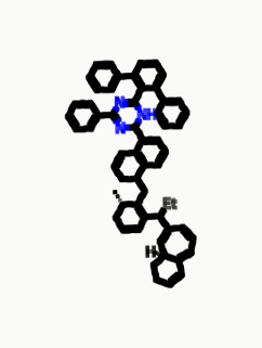 CCC(C1=C[C@@H]2CCC=CC2=CC=C1)C1=C(CC2CC=Cc3c2cccc3C2N=C(c3ccccc3)N=C(c3c(-c4ccccc4)cccc3-c3ccccc3)N2)[C@@H](C)CC=C1